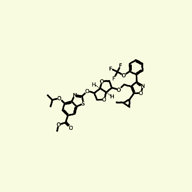 COC(=O)c1cc(OC(C)C)c2nc(OC3CO[C@@H]4C(OCc5c(-c6ccccc6OC(F)(F)F)noc5C5CC5C)CO[C@H]34)sc2c1